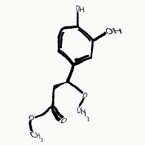 COC(=O)C[C@H](OC)c1ccc(O)c(O)c1